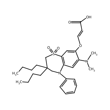 CCCCC1(CCCC)CN(c2ccccc2)c2cc(N(C)C)c(O/C=C/C(=O)O)cc2S(=O)(=O)C1